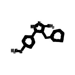 CSc1ccc(-c2[nH]nc(N)c2Cc2ccccc2)cc1